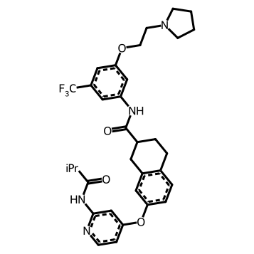 CC(C)C(=O)Nc1cc(Oc2ccc3c(c2)CC(C(=O)Nc2cc(OCCN4CCCC4)cc(C(F)(F)F)c2)CC3)ccn1